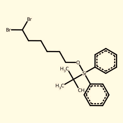 CC(C)(C)[Si](OCCCCCC(Br)Br)(c1ccccc1)c1ccccc1